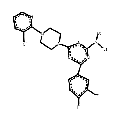 CCN(CC)c1nc(-c2ccc(F)c(F)c2)nc(N2CCN(c3ncccc3C(F)(F)F)CC2)n1